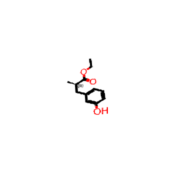 CCOC(=O)[C@H](C)Cc1cccc(O)c1